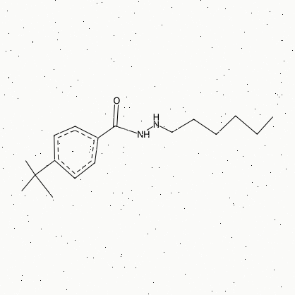 CCCCCCNNC(=O)c1ccc(C(C)(C)C)cc1